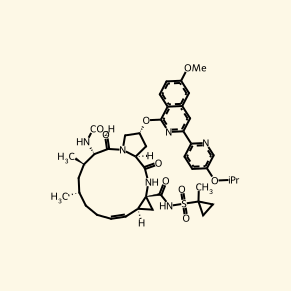 COc1ccc2c(O[C@@H]3C[C@H]4C(=O)N[C@]5(C(=O)NS(=O)(=O)C6(C)CC6)C[C@H]5C=CCC[C@H](C)C[C@@H](C)[C@H](NC(=O)O)C(=O)N4C3)nc(-c3ccc(OC(C)C)cn3)cc2c1